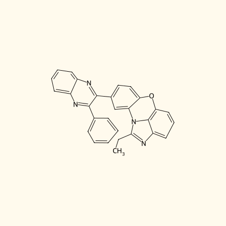 CCc1nc2cccc3c2n1-c1cc(-c2nc4ccccc4nc2-c2ccccc2)ccc1O3